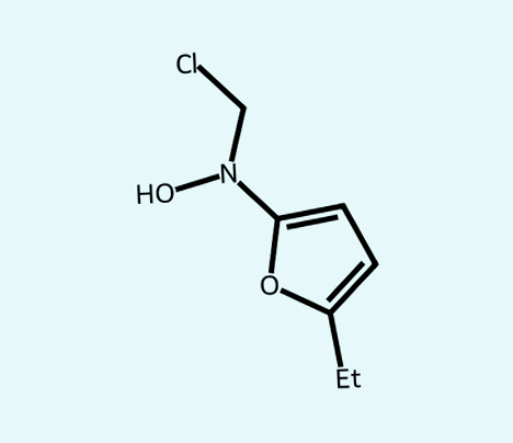 CCc1ccc(N(O)CCl)o1